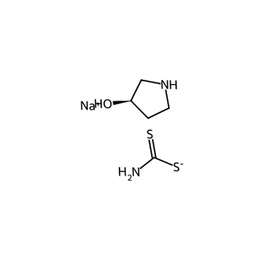 NC(=S)[S-].O[C@@H]1CCNC1.[Na+]